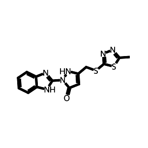 Cc1nnc(SCc2cc(=O)n(-c3nc4ccccc4[nH]3)[nH]2)s1